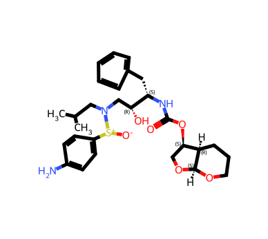 CC(C)CN(C[C@@H](O)[C@H](Cc1ccccc1)NC(=O)O[C@@H]1CO[C@@H]2OCCC[C@@H]21)[S+]([O-])c1ccc(N)cc1